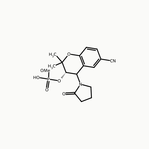 COP(=O)(O)O[C@H]1C(N2CCCC2=O)c2cc(C#N)ccc2OC1(C)C